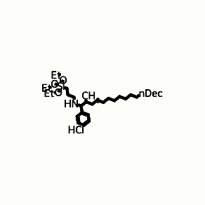 CCCCCCCCCCCCCCCCCCCC(C)C(NCCC[Si](OCC)(OCC)OCC)c1ccccc1.Cl